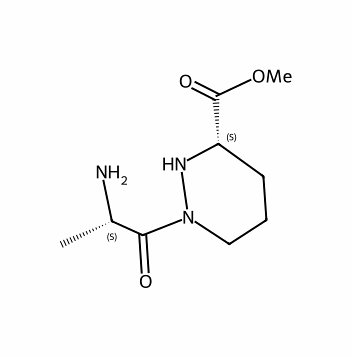 COC(=O)[C@@H]1CCCN(C(=O)[C@H](C)N)N1